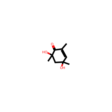 CC1=CC(C)(O)CC(C)(O)C1=O